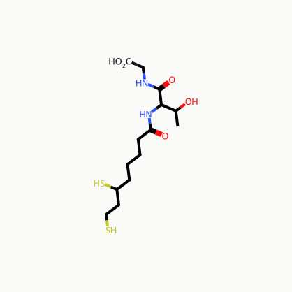 CC(O)C(NC(=O)CCCCC(S)CCS)C(=O)NCC(=O)O